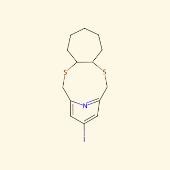 Ic1cc2nc(c1)CSC1CCCCCC1SC2